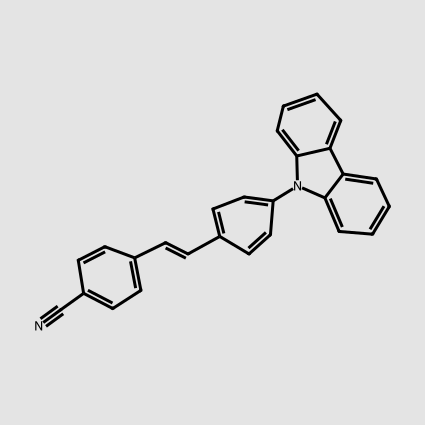 N#Cc1ccc(/C=C/c2ccc(-n3c4ccccc4c4ccccc43)cc2)cc1